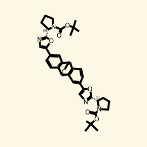 CC(C)(C)OC(=O)N1CCC[C@H]1c1ncc(-c2ccc3c(c2)C2CCC3c3cc(-c4cnc([C@@H]5CCCN5C(=O)OC(C)(C)C)o4)ccc32)o1